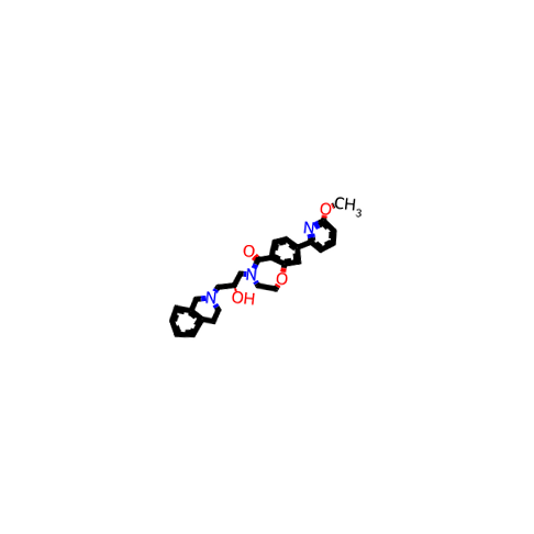 COc1cccc(-c2ccc3c(c2)OCCN(C[C@H](O)CN2CCc4ccccc4C2)C3=O)n1